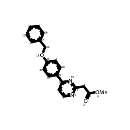 COC(=O)Cc1nccc(-c2ccc(OCc3ccccc3)cc2)n1